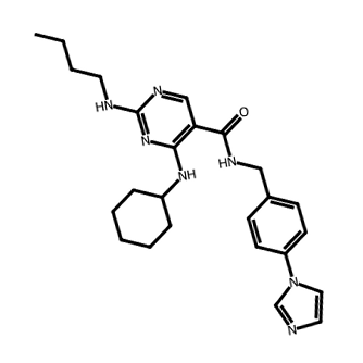 CCCCNc1ncc(C(=O)NCc2ccc(-n3ccnc3)cc2)c(NC2CCCCC2)n1